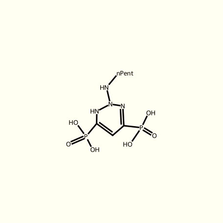 CCCCCNN1N=C(P(=O)(O)O)C=C(P(=O)(O)O)N1